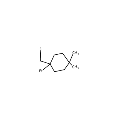 CCC1(CI)CCC(C)(C)CC1